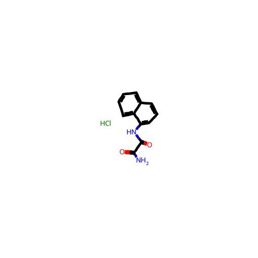 Cl.NC(=O)C(=O)Nc1cccc2ccccc12